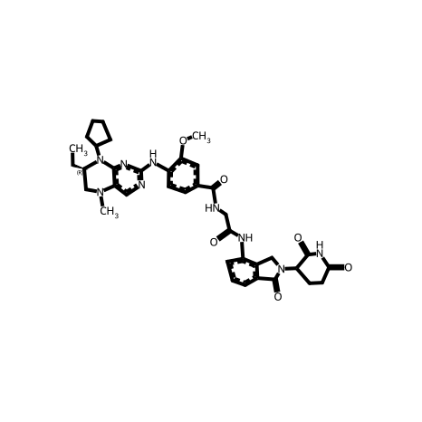 CC[C@@H]1CN(C)c2cnc(Nc3ccc(C(=O)NCC(=O)Nc4cccc5c4CN(C4CCC(=O)NC4=O)C5=O)cc3OC)nc2N1C1CCCC1